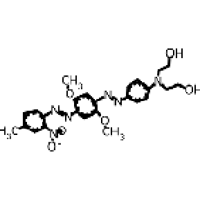 COc1cc(N=Nc2ccc(C)cc2[N+](=O)[O-])c(OC)cc1N=Nc1ccc(N(CCO)CCO)cc1